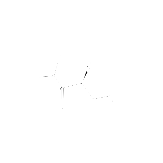 CC([O])C(=O)[C@@H](N)CC(=O)O